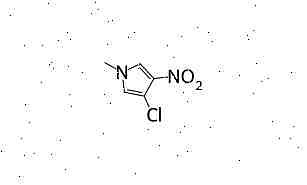 Cn1cc(Cl)c([N+](=O)[O-])c1